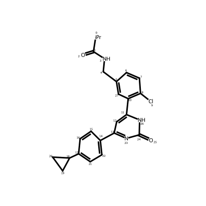 CC(C)C(=O)NCc1ccc(Cl)c(-c2cc(-c3ccc(C4CC4)cc3)nc(=O)[nH]2)c1